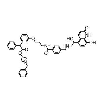 O=C(NCCCOc1cccc(C(C(=O)OC2CN(Cc3ccccc3)C2)c2ccccc2)c1)c1ccc(CNCC(O)c2ccc(O)c3[nH]c(=O)ccc23)cc1